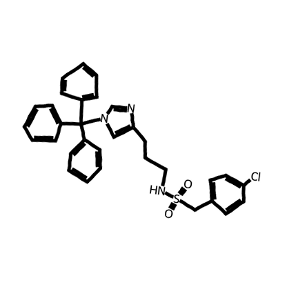 O=S(=O)(Cc1ccc(Cl)cc1)NCCCc1cn(C(c2ccccc2)(c2ccccc2)c2ccccc2)cn1